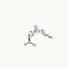 O.O.O.O.O.O=[Si]([O-])[O-].[Na+].[Na+]